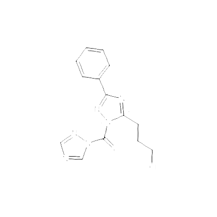 CCCCc1nc(-c2ccccc2)nn1C(=O)n1cncn1